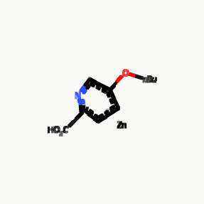 CCCCOc1ccc(C(=O)O)nc1.[Zn]